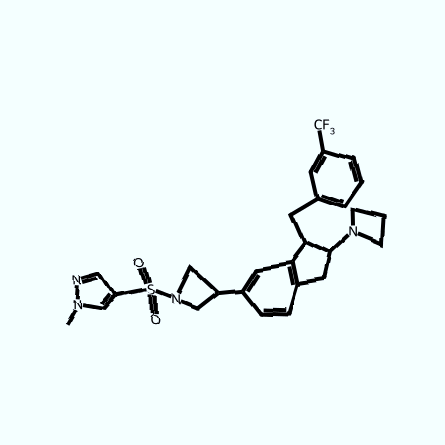 Cn1cc(S(=O)(=O)N2CC(c3ccc4c(c3)C(Cc3cccc(C(F)(F)F)c3)C(N3CCC3)C4)C2)cn1